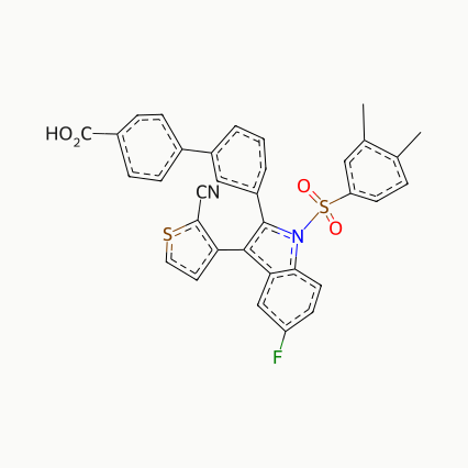 Cc1ccc(S(=O)(=O)n2c(-c3cccc(-c4ccc(C(=O)O)cc4)c3)c(-c3ccsc3C#N)c3cc(F)ccc32)cc1C